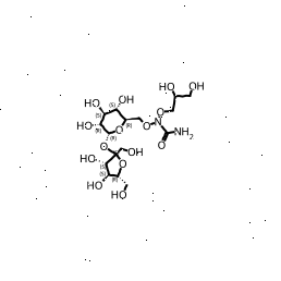 NC(=O)N(OCC(O)CO)OC[C@H]1O[C@H](O[C@]2(CO)O[C@H](CO)[C@@H](O)[C@@H]2O)[C@H](O)[C@@H](O)[C@@H]1O